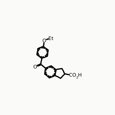 CCOc1ccc(C(=O)c2ccc3c(c2)CC(C(=O)O)C3)cc1